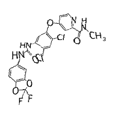 CNC(=O)c1cc(Oc2cc(NC(=O)Nc3ccc4c(c3)OC(F)(F)O4)c(Cl)cc2Cl)ccn1